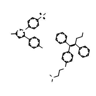 CN(C)CCOc1ccc(/C(=C(/CCCl)c2ccccc2)c2ccccc2)cc1.Cc1ccc(-c2cc(C(F)(F)F)nn2-c2ccc(S(N)(=O)=O)cc2)cc1